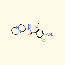 COc1cc(N)c(Cl)cc1C(=O)NC1CCN2CCCCN2C1